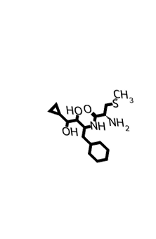 CSC[C@H](N)C(=O)NC(CC1CCCCC1)C(O)C(O)C1CC1